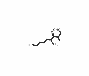 CC(CC=O)C(=O)[C@@H](N)CCCCN